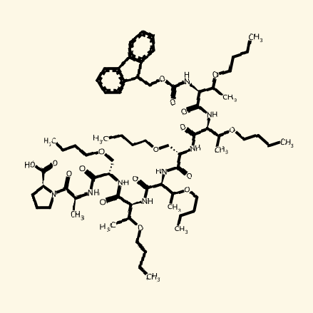 CCCCOC[C@H](NC(=O)[C@@H](NC(=O)[C@@H](NC(=O)OCC1c2ccccc2-c2ccccc21)C(C)OCCCC)C(C)OCCCC)C(=O)N[C@H](C(=O)N[C@H](C(=O)N[C@@H](COCCCC)C(=O)N[C@@H](C)C(=O)N1CCC[C@H]1C(=O)O)C(C)OCCCC)C(C)OCCCC